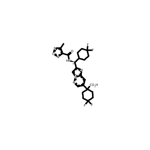 Cc1nonc1C(=O)N[C@H](c1cn2ncc(C3(C(=O)O)CCC(F)(F)CC3)cc2n1)C1CCC(F)(F)CC1